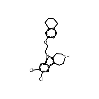 Clc1cc2c3c(n(CCOc4ccc5c(c4)CCCC5)c2cc1Cl)CCNCC3